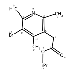 Cc1nc(C)c(CC(=O)OC(C)C)c(C)c1Br